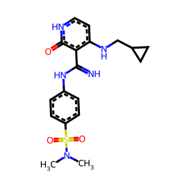 CN(C)S(=O)(=O)c1ccc(NC(=N)c2c(NCC3CC3)cc[nH]c2=O)cc1